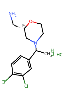 CC(c1ccc(Cl)c(Cl)c1)N1CCO[C@@H](CN)C1.Cl.Cl